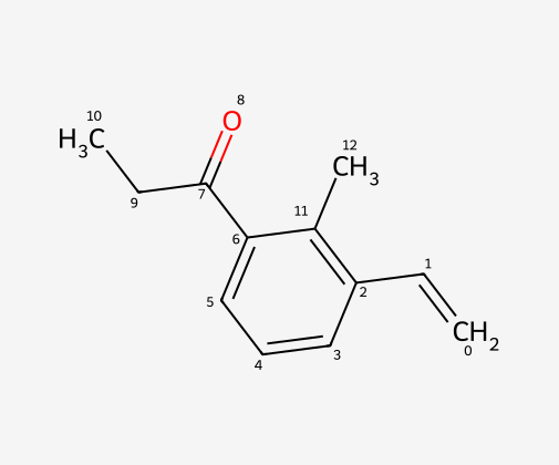 C=Cc1cccc(C(=O)CC)c1C